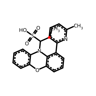 CCC(N1c2ccccc2Oc2cccc(-c3cccc(C)n3)c21)S(=O)(=O)O